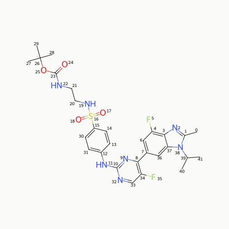 Cc1nc2c(F)cc(-c3nc(Nc4ccc(S(=O)(=O)NCCNC(=O)OC(C)(C)C)cc4)ncc3F)cc2n1C(C)C